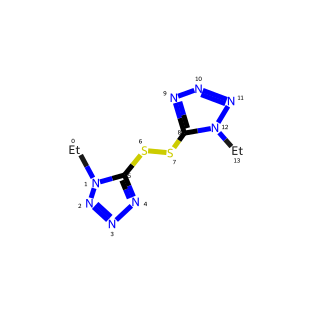 CCn1nnnc1SSc1nnnn1CC